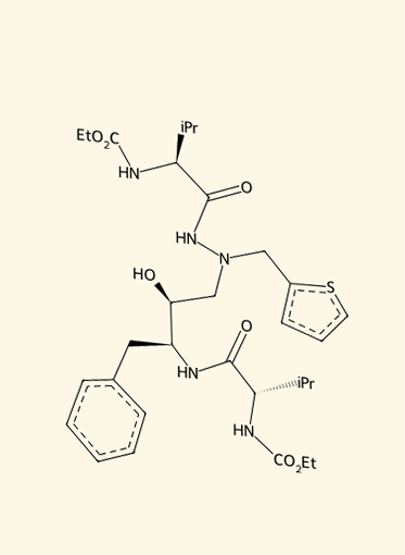 CCOC(=O)N[C@H](C(=O)N[C@@H](Cc1ccccc1)[C@@H](O)CN(Cc1cccs1)NC(=O)[C@@H](NC(=O)OCC)C(C)C)C(C)C